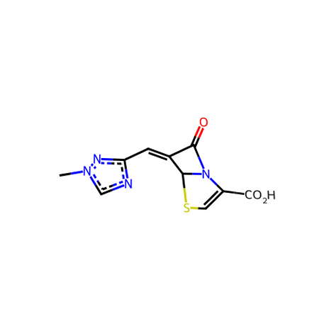 Cn1cnc(/C=C2/C(=O)N3C(C(=O)O)=CSC23)n1